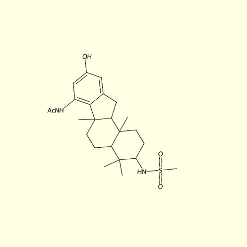 CC(=O)Nc1cc(O)cc2c1C1(C)CCC3C(C)(C)C(NS(C)(=O)=O)CCC3(C)C1C2